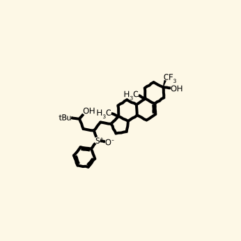 CC(C)(C)C(O)CC(CC1CCC2C3CC=C4C[C@](O)(C(F)(F)F)CCC4(C)C3CCC12C)[S+]([O-])c1ccccc1